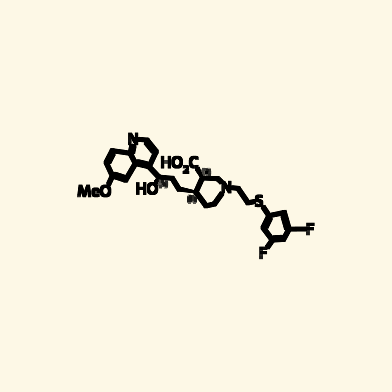 COc1ccc2nccc([C@@H](O)CC[C@@H]3CCN(CCSc4cc(F)cc(F)c4)C[C@@H]3C(=O)O)c2c1